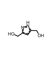 OCc1cc(CO)[nH]n1